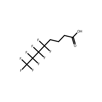 O=C(O)CCCC(F)(F)C(F)(F)C(F)(F)C(F)(F)F